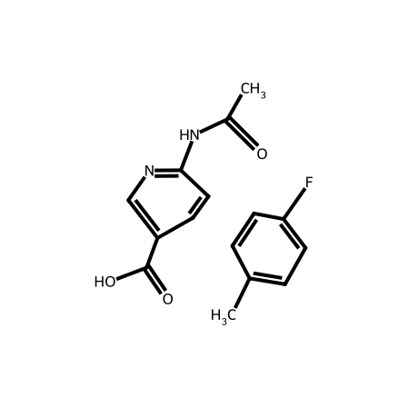 CC(=O)Nc1ccc(C(=O)O)cn1.Cc1ccc(F)cc1